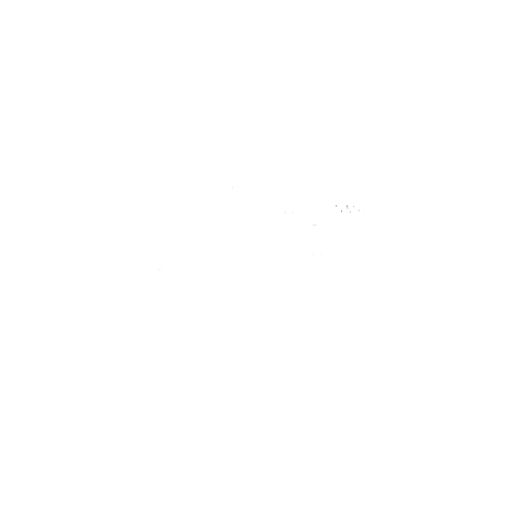 CCOc1cc(OCC)c2cc(C)c(C)cc2c1OC(=O)NC